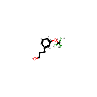 [O]CCCc1cccc(OC(F)(F)F)c1